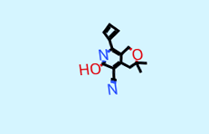 CC1(C)Cc2c(C#N)c(O)nc(C3=CC=C3)c2CO1